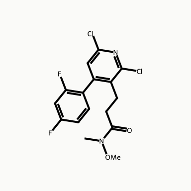 CON(C)C(=O)CCc1c(-c2ccc(F)cc2F)cc(Cl)nc1Cl